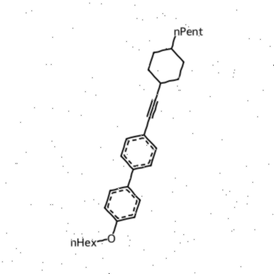 CCCCCCOc1ccc(-c2ccc(C#CC3CCC(CCCCC)CC3)cc2)cc1